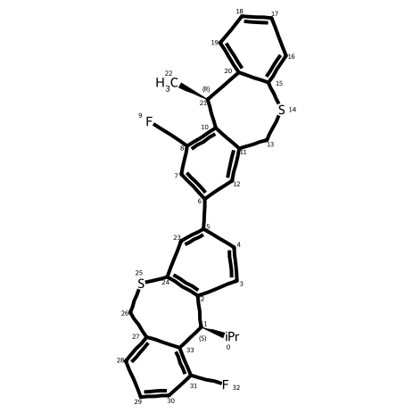 CC(C)[C@@H]1c2ccc(-c3cc(F)c4c(c3)CSc3ccccc3[C@@H]4C)cc2SCc2cccc(F)c21